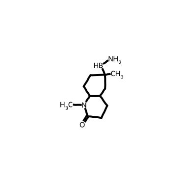 CN1C(=O)CCC2CC(C)(BN)CCC21